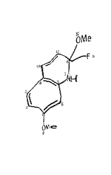 COc1ccc2c(c1)NC(F)(OC)C=C2